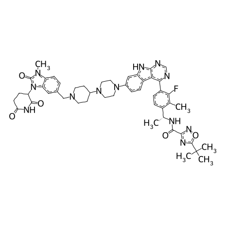 Cc1c([C@@H](C)NC(=O)c2noc(C(C)(C)C)n2)ccc(-c2ncnc3[nH]c4cc(N5CCN(C6CCN(Cc7ccc8c(c7)n(C7CCC(=O)NC7=O)c(=O)n8C)CC6)CC5)ccc4c23)c1F